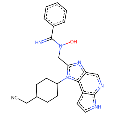 N#CCC1CCC(n2c(CN(O)C(=N)c3ccccc3)nc3cnc4[nH]ccc4c32)CC1